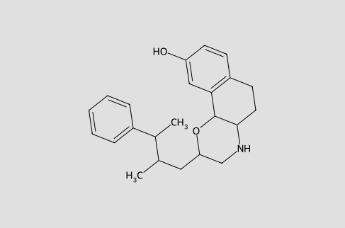 CC(CC1CNC2CCc3ccc(O)cc3C2O1)C(C)c1ccccc1